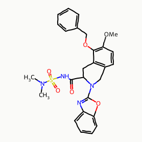 COc1ccc2c(c1OCc1ccccc1)CC(C(=O)NS(=O)(=O)N(C)C)N(c1nc3ccccc3o1)C2